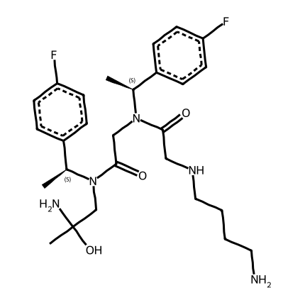 C[C@@H](c1ccc(F)cc1)N(CC(=O)N(CC(C)(N)O)[C@@H](C)c1ccc(F)cc1)C(=O)CNCCCCN